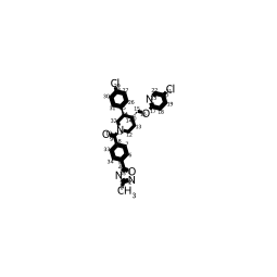 Cc1noc(-c2ccc(C(=O)N3CC[C@@H](COc4ccc(Cl)cn4)[C@H](c4ccc(Cl)cc4)C3)cc2)n1